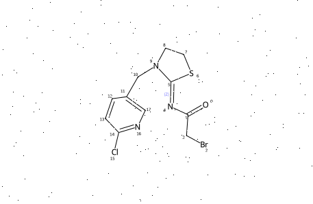 O=C(CBr)/N=C1\SCCN1Cc1ccc(Cl)nc1